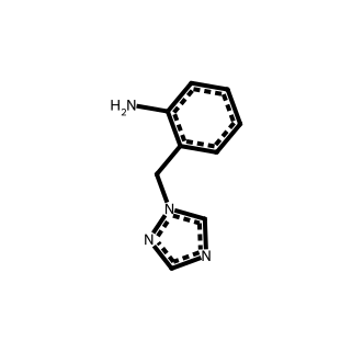 Nc1ccccc1Cn1cncn1